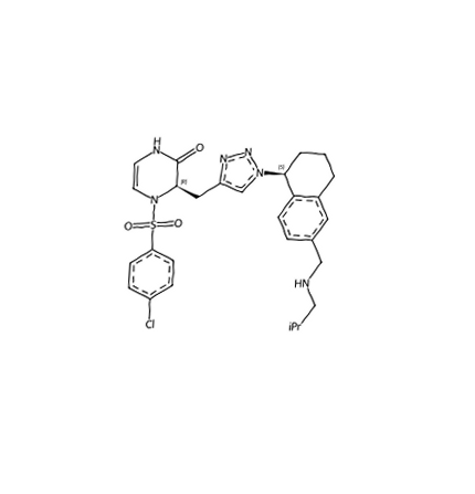 CC(C)CNCc1ccc2c(c1)CCC[C@@H]2n1cc(C[C@@H]2C(=O)NC=CN2S(=O)(=O)c2ccc(Cl)cc2)nn1